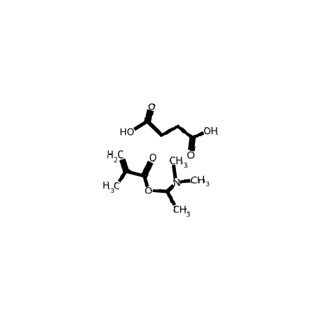 C=C(C)C(=O)OC(C)N(C)C.O=C(O)CCC(=O)O